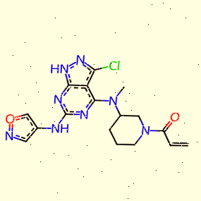 C=CC(=O)N1CCCC(N(C)c2nc(Nc3cnoc3)nc3[nH]nc(Cl)c23)C1